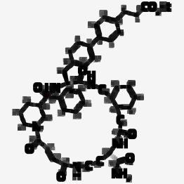 CCOC(=O)CCc1ccc(-c2ccc(C[C@@H]3NC(=O)[C@]4(Cc5ccccc5)CCCN(C4)C(=O)/C=C/C(=O)NCC[C@@H](C(N)=O)NC(=O)Cc4ccccc4CNC3=O)cc2)cc1